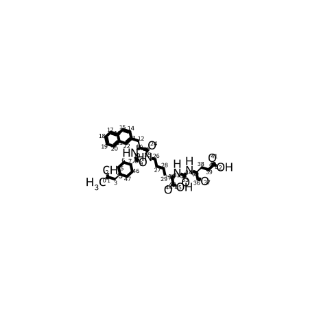 CC(C)C[C@H]1CC[C@H](C(=O)N[C@@H](Cc2ccc3ccccc3c2)C(=O)NCCCC[C@H](NC(=O)N[C@H](C=O)CCC(=O)O)C(=O)O)CC1